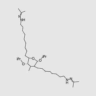 CC(C)=NNCCCCCCCCCC1O[C@H](OC(C)C)C(CCCCCCCCNN=C(C)C)C(C)[C@@H]1OC(C)C